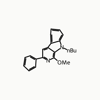 CCCCn1c2ccccc2c2cc(-c3ccccc3)nc(OC)c21